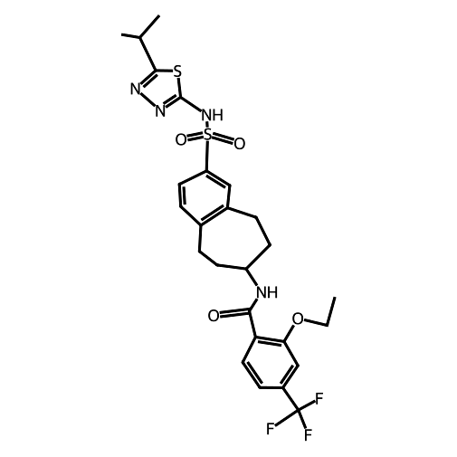 CCOc1cc(C(F)(F)F)ccc1C(=O)NC1CCc2ccc(S(=O)(=O)Nc3nnc(C(C)C)s3)cc2CC1